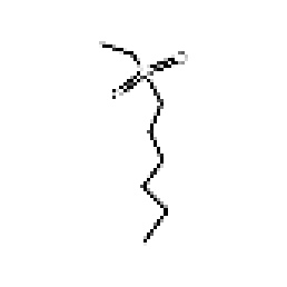 C[CH]S(=O)(=O)CCCCCC